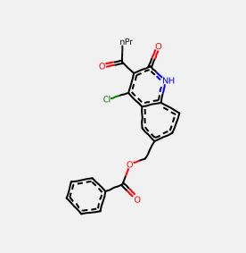 CCCC(=O)c1c(Cl)c2cc(COC(=O)c3ccccc3)ccc2[nH]c1=O